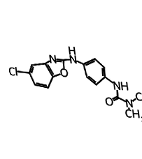 CN(C)C(=O)Nc1ccc(Nc2nc3cc(Cl)ccc3o2)cc1